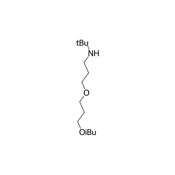 CC(C)COCCCOCCCNC(C)(C)C